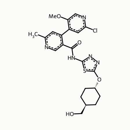 COc1cnc(Cl)cc1-c1cc(C)ncc1C(=O)Nc1nnc(O[C@H]2CC[C@H](CO)CC2)s1